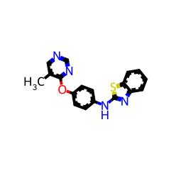 Cc1cncnc1Oc1ccc(Nc2nc3ccccc3s2)cc1